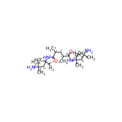 CC(CC(C)C(=O)NC(C)(C)CC(C)(C)N)C(=O)NC(C)(C)CC(C)(C)N